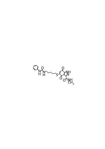 CNC(=O)c1n[nH]c2c1C(=O)C(SCCCCCNC(=O)Nc1ccccc1)=CC2=O